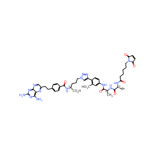 CC(C)[C@H](NC(=O)CCCCCN1C(=O)C=CC1=O)C(=O)N[C@@H](C)C(=O)Nc1ccc(-c2cn(CCC[C@H](NC(=O)c3ccc(CCc4cnc5nc(N)nc(N)c5n4)cc3)C(=O)O)nn2)c(C(=O)O)c1